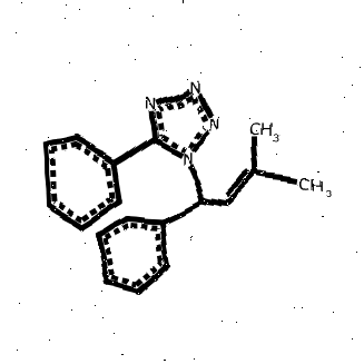 CC(C)=CC(c1ccccc1)n1nnnc1-c1ccccc1